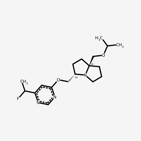 CC(C)OC[C@@]12CCCN1[C@H](COc1cc(C(C)F)ncn1)CC2